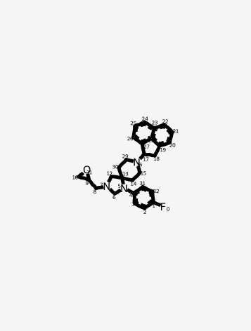 Fc1ccc(N2CN(CC3CO3)CC23CCN(C2Cc4cccc5cccc2c45)CC3)cc1